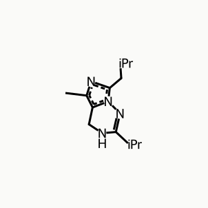 Cc1nc(CC(C)C)n2c1CNC(C(C)C)=N2